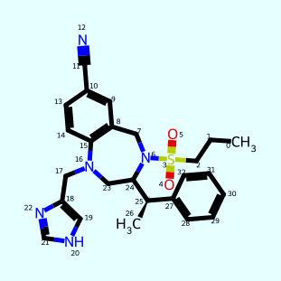 CCCS(=O)(=O)N1Cc2cc(C#N)ccc2N(Cc2c[nH]cn2)CC1[C@H](C)c1ccccc1